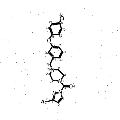 CC(=O)c1ccn(C(=O)N2CCN(Cc3cccc(Oc4ccc(Cl)cc4)c3)CC2)n1